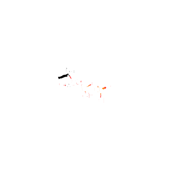 C=CO.CC(=O)[O-].O=[PH](O)O[PH](=O)O.[Na+]